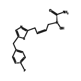 NC(=O)N(O)C/C=C\Cc1ncc(Cc2ccc(F)cc2)s1